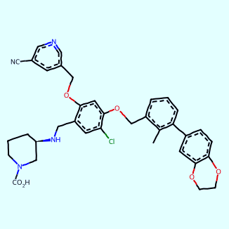 Cc1c(COc2cc(OCc3cncc(C#N)c3)c(CN[C@@H]3CCCN(C(=O)O)C3)cc2Cl)cccc1-c1ccc2c(c1)OCCO2